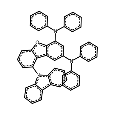 c1ccc(N(c2ccccc2)c2cc(N(c3ccccc3)c3ccccc3)c3oc4cccc(-n5c6ccccc6c6ccccc65)c4c3c2)cc1